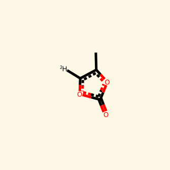 [2H]c1oc(=O)oc1C